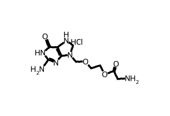 Cl.NCC(=O)OCCOCN1CNc2c1nc(N)[nH]c2=O